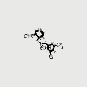 O=Cc1cnccc1SN(Cc1cc(Cl)cc(C(F)(F)F)c1)C(=O)O